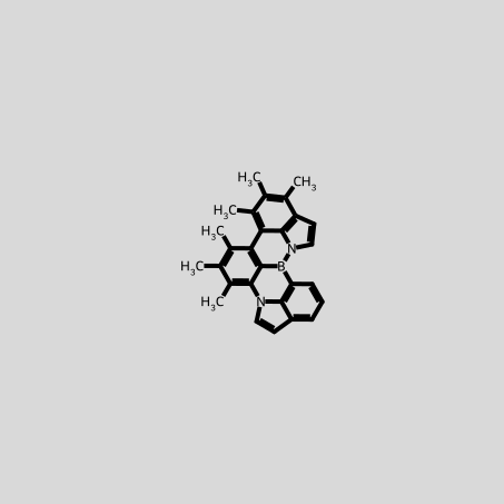 Cc1c(C)c2c3c(c1C)-n1ccc4cccc(c41)B3n1ccc3c(C)c(C)c(C)c-2c31